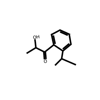 CC(O)C(=O)c1cc[c]cc1C(C)C